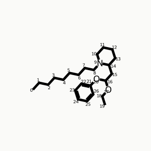 CCCCCCCCCN1CCCCC1CC(OCC)Oc1ccccc1